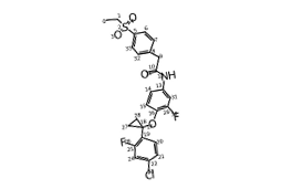 CCS(=O)(=O)c1ccc(CC(=O)Nc2ccc(OC3(c4ccc(Cl)cc4F)CC3)c(F)c2)cc1